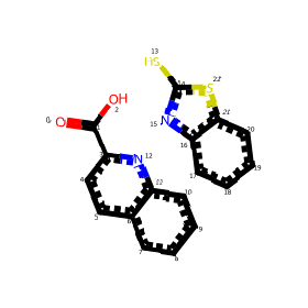 O=C(O)c1ccc2ccccc2n1.Sc1nc2ccccc2s1